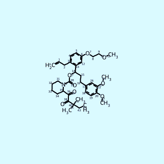 C=CCc1ccc(OCCOC)cc1C(CCc1ccc(OC)c(OC)c1)OC(=O)N1CCCCC1C(=O)C(=O)C(C)(C)CC